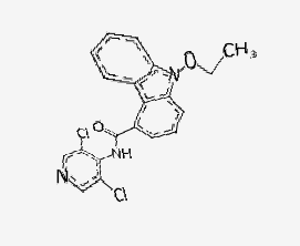 CCOn1c2ccccc2c2c(C(=O)Nc3c(Cl)cncc3Cl)cccc21